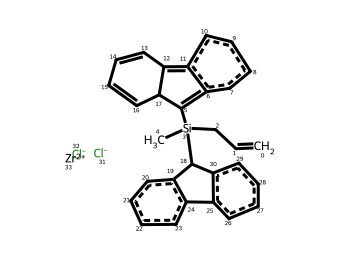 C=CC[Si](C)(C1=c2ccccc2=C2C=CC=CC21)C1c2ccccc2-c2ccccc21.[Cl-].[Cl-].[Zr+2]